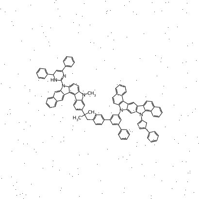 Cn1c2cc(C(C)(C)Cc3ccc(-c4cc(-c5ccccc5)cc(-n5c6cc7c(cc6c6c8ccccc8ccc65)c5ccc6ccccc6c5n7C5=CC=C(c6ccccc6)C5)c4)cc3)ccc2c2c3c4cc5ccccc5cc4n(C4=NC(c5ccccc5)=CC(c5ccccc5)N4)c3ccc21